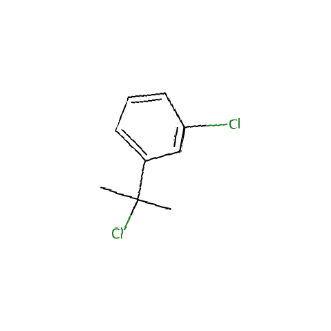 CC(C)(Cl)c1cccc(Cl)c1